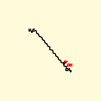 CCCCCCCCCCCCCCCCCCCCC[S+]([O-])CC(C)O